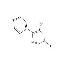 Fc1ccc(-c2cc[c]cc2)c(Br)c1